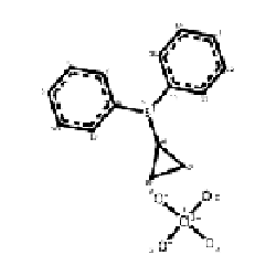 [O-][Cl+3]([O-])([O-])[O-].c1ccc([S+](c2ccccc2)C2CC2)cc1